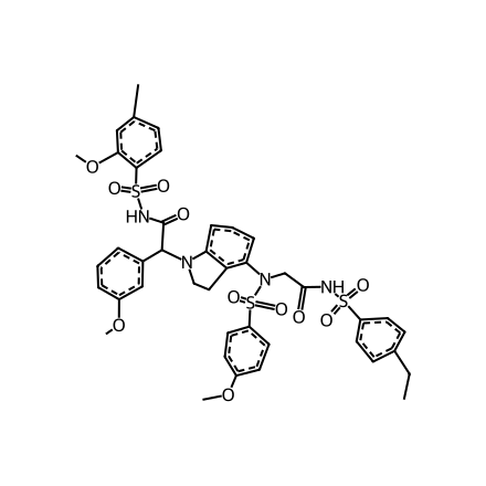 CCc1ccc(S(=O)(=O)NC(=O)CN(c2cccc3c2CCN3C(C(=O)NS(=O)(=O)c2ccc(C)cc2OC)c2cccc(OC)c2)S(=O)(=O)c2ccc(OC)cc2)cc1